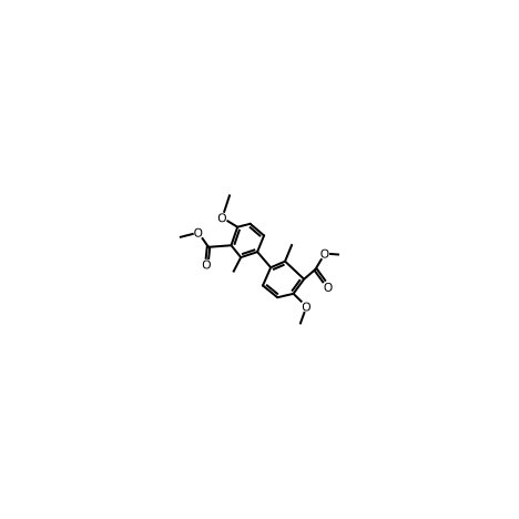 COC(=O)c1c(OC)ccc(-c2ccc(OC)c(C(=O)OC)c2C)c1C